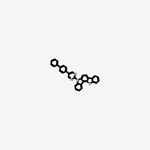 c1ccc(-c2ccc(-c3cnc(-n4c5ccccc5c5c6sc7ccccc7c6ccc54)nc3)cc2)cc1